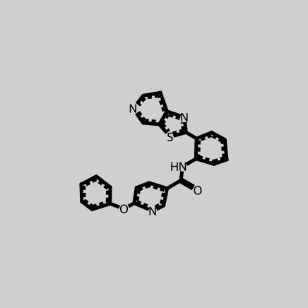 O=C(Nc1ccccc1-c1nc2ccncc2s1)c1ccc(Oc2ccccc2)nc1